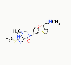 CNCCC(Oc1ccc(CN2CCN(C)c3nc(SC)ncc3C2=O)cc1)c1cccs1